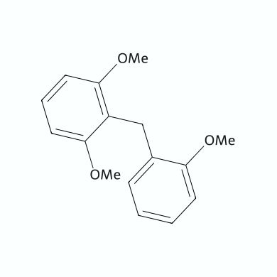 COc1ccccc1Cc1c(OC)cccc1OC